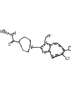 CCCCNC(=O)C1CCN(c2nc3cc(Cl)c(Cl)cc3n2C(C)C)CC1